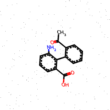 CC(=O)c1ccccc1-c1c(N)cccc1C(=O)O